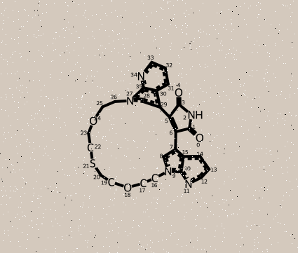 O=C1NC(=O)C2=C1c1cn(c3ncccc13)CCOCCSCCOCCn1cc2c2cccnc21